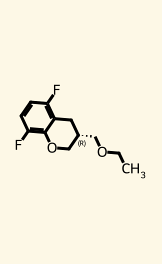 CCOC[C@@H]1COc2c(F)ccc(F)c2C1